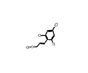 O=[C]CC=Cc1c(Cl)cc(Cl)cc1Cl